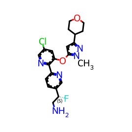 Cn1nc(C2CCOCC2)cc1Oc1cc(Cl)cnc1-c1ccc([C@H](F)CN)cn1